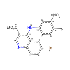 CCOC(=O)c1cnc2ccc(Br)cc2c1Nc1ccc(C)c([N+](=O)[O-])c1